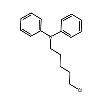 OCCCCCN(c1ccccc1)c1ccccc1